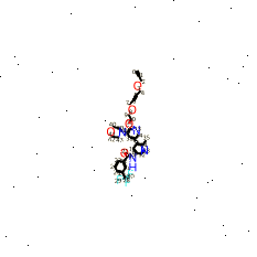 C#CCOCC#CCOCCOc1ncc(-c2cc(NC(=O)c3cccc(C(F)(F)F)c3)cnc2C)cc1N1CCOCC1